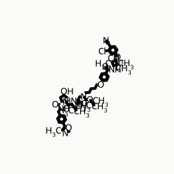 Cc1ncoc1-c1ccc(CNC(=O)[C@@H]2C[C@@H](O)CN2C(=O)[C@@H](NC(=O)CN(CCCCCOc2ccc(C(=O)N[C@H]3C(C)(C)[C@H](Oc4ccc(C#N)c(Cl)c4)C3(C)C)cc2)C(=O)OC(C)(C)C)C(C)(C)C)cc1